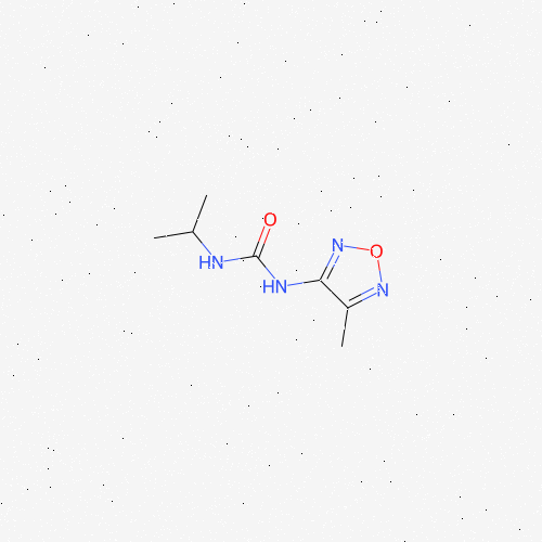 Cc1nonc1NC(=O)NC(C)C